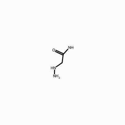 [NH]C(=O)CNN